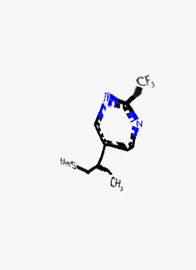 CSC(C)c1cnc(C(F)(F)F)nc1